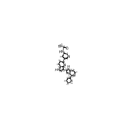 CC(C)(C)C(=O)Nc1cncc(-c2ccc3[nH]nc(-c4cc5c(-c6ccccn6)nccc5[nH]4)c3n2)c1